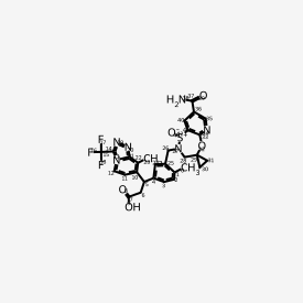 Cc1ccc(C(CC(=O)O)c2ccn3c(C(F)(F)F)nnc3c2C)cc1CN1CC2(CC2)Oc2ncc(C(N)=O)cc2[S+]1[O-]